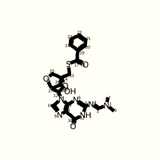 CN(C)C=Nc1nc2c(ncn2C2OC3(CSC(=O)c4ccccc4)COC2C3O)c(=O)[nH]1